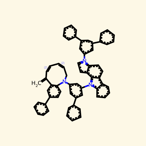 C=C1/C=C\C=C/CN(c2cc(-c3ccccc3)cc(-n3c4ccccc4c4ccc5c(ccn5-c5cc(-c6ccccc6)cc(-c6ccccc6)c5)c43)c2)c2ccc(-c3ccccc3)cc21